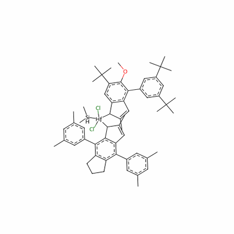 COc1c(C(C)(C)C)cc2c(c1-c1cc(C(C)(C)C)cc(C(C)(C)C)c1)C=C(C)[CH]2[Hf]([Cl])([Cl])([CH]1C(C)=Cc2c(-c3cc(C)cc(C)c3)c3c(c(-c4cc(C)cc(C)c4)c21)CCC3)[SiH](C)C